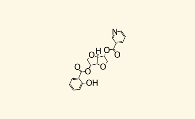 O=C(O[C@@H]1COC2[C@@H](OC(=O)c3ccccc3O)CO[C@@H]21)c1cccnc1